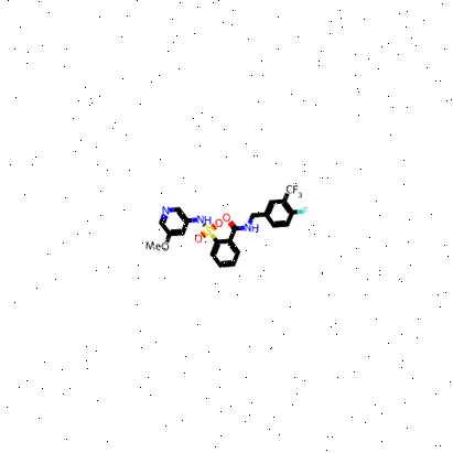 COc1cncc(NS(=O)(=O)c2ccccc2C(=O)NCc2ccc(F)c(C(F)(F)F)c2)c1